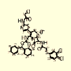 O=C(CCl)Nc1ncc(C2=C(NC(=O)OC(c3ccccc3)c3ccccc3)N3C(=O)C(NC(=O)CSc4ccc(Cl)c(Cl)c4)C3[S+]([O-])C2)s1